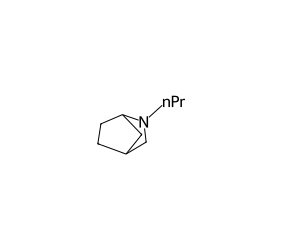 CCCN1CC2CCC1C2